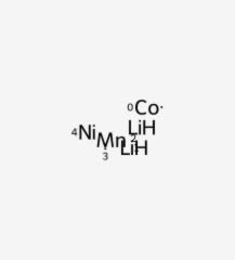 [Co].[LiH].[LiH].[Mn].[Ni]